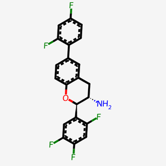 N[C@H]1Cc2cc(-c3ccc(F)cc3F)ccc2O[C@@H]1c1cc(F)c(F)cc1F